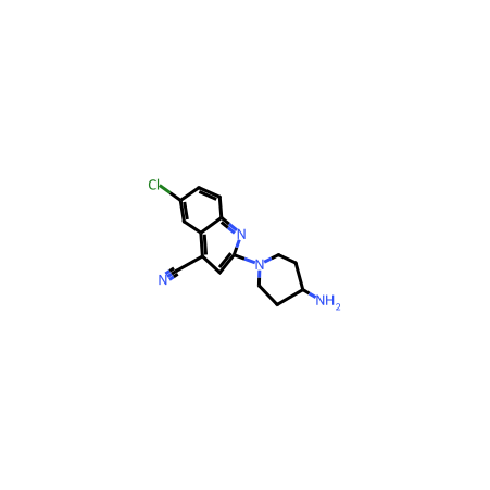 N#Cc1cc(N2CCC(N)CC2)nc2ccc(Cl)cc12